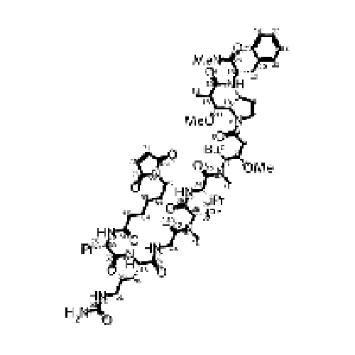 CC[C@H](C)[C@@H]([C@@H](CC(=O)N1CCC[C@H]1[C@H](OC)[C@@H](C)C(=O)N[C@@H](Cc1ccccc1)C(=O)NC)OC)N(C)C(=O)[C@@H](NC(=O)[C@H](C(C)C)N(C)C(=O)CNC(=O)[C@H](CCCNC(N)=O)NC(=O)[C@@H](NC(=O)CCCCCN1C(=O)C=CC1=O)C(C)C)C(C)C